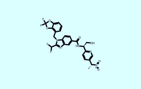 C[C@H](c1ccc([C@H](CO)NC(=O)c2ccc3c(c2)nc(C(F)F)n3Cc2cccc3c2OC(F)(F)O3)nc1)[SH](=O)=O